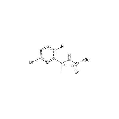 C[C@@H](N[S@@+]([O-])C(C)(C)C)c1nc(Br)ccc1F